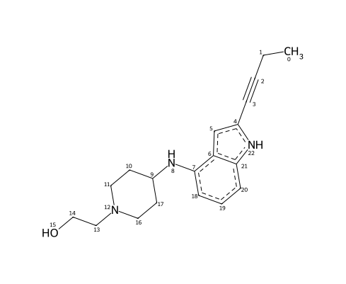 CCC#Cc1cc2c(NC3CCN(CCO)CC3)cccc2[nH]1